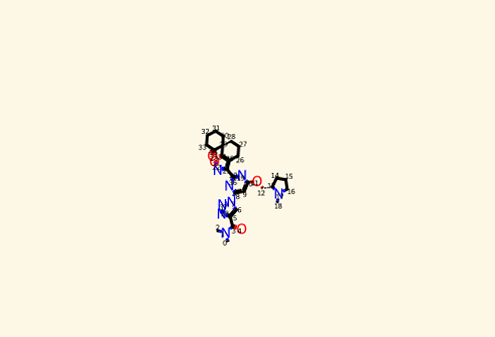 CN(C)C(=O)c1cn(-c2cc(OC[C@@H]3CCCN3C)nc(-c3noc4c3CCC[C@@]43CCCCC3=O)n2)nn1